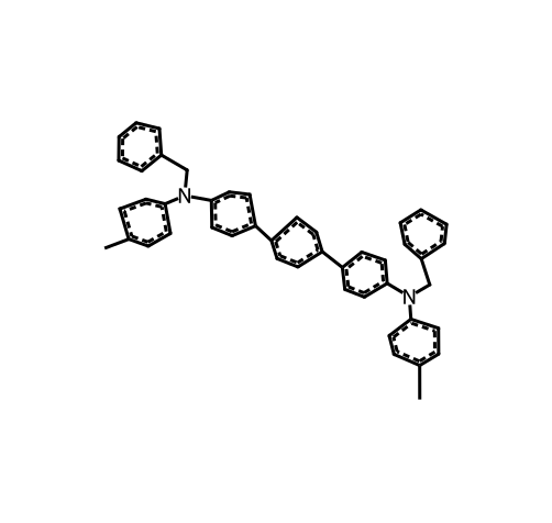 Cc1ccc(N(Cc2ccccc2)c2ccc(-c3ccc(-c4ccc(N(Cc5ccccc5)c5ccc(C)cc5)cc4)cc3)cc2)cc1